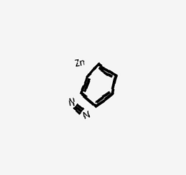 N#N.[Zn].c1ccccc1